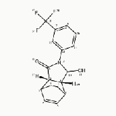 O=C1[C@H]2C3C=CC(CC3)[C@H]2C(O)N1c1cccc(C(F)(F)F)c1